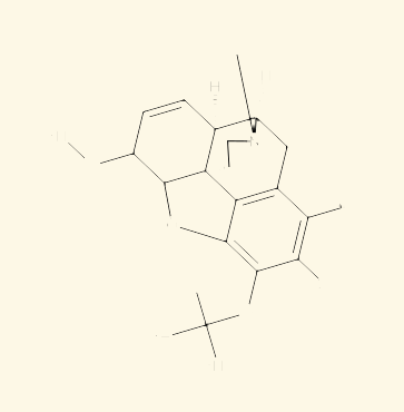 [2H]OC1C=C[C@H]2[C@H]3Cc4c([2H])c([2H])c(OC([2H])([2H])[2H])c5c4[C@@]2(CCN3C)C1O5